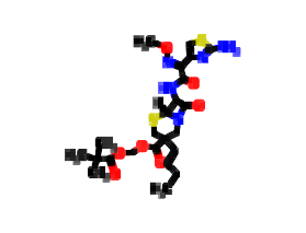 CCC=CC1(C(=O)OCOC(=O)C(C)(C)C)CS[C@@H]2C(NC(=O)C(=NOC)c3csc(N)n3)C(=O)N2C1